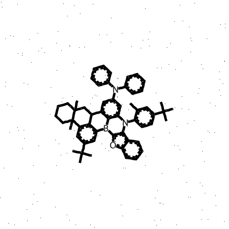 Cc1cc(C(C)(C)C)ccc1N1c2cc(N(c3ccccc3)c3ccccc3)cc3c2B(c2cc(C(C)(C)C)cc4c2C3CC2(C)CCCCC42C)c2oc3ccccc3c21